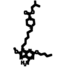 CCCCOc1nc(N)c2nc(OC)n(CCCCCCN3CCN(C(=O)OCC(C)C)CC3)c2n1